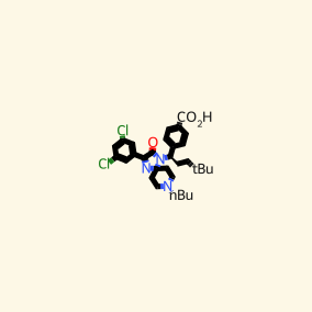 CCCCN1CCC2(CC1)N=C(c1cc(Cl)cc(Cl)c1)C(=O)N2[C@H](CCC(C)(C)C)c1ccc(C(=O)O)cc1